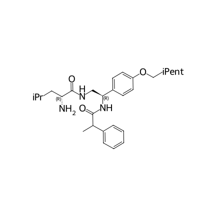 CCCC(C)COc1ccc([C@H](CNC(=O)[C@H](N)CC(C)C)NC(=O)C(C)c2ccccc2)cc1